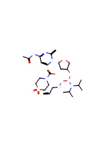 C=CCNOP(OC1[C@@H](C)O[C@@H](N2C=CC(NC(C)=O)=NC2=C)[C@H]1OC(=S)N1CCS(=O)(=O)CC1)N(C(C)C)C(C)C